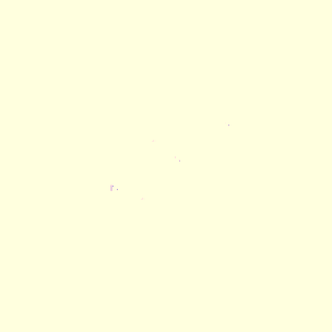 C=C/C=C(NC)\C(=C/C=C)NCNC